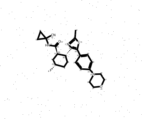 Cc1nc([C@@H]2CC[C@H](F)C[C@H]2C(=O)NC2(C#N)CC2)c(-c2ccc(N3CCOCC3)cc2)s1